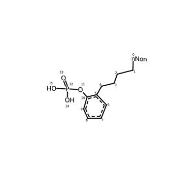 CCCCCCCCCCCCCc1ccccc1OP(=O)(O)O